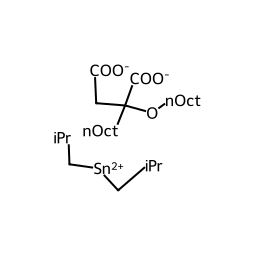 CC(C)[CH2][Sn+2][CH2]C(C)C.CCCCCCCCOC(CCCCCCCC)(CC(=O)[O-])C(=O)[O-]